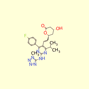 CC(C)c1nc(Nc2nnnn2C)nc(-c2ccc(F)cc2)c1/C=C/[C@@H]1C[C@@H](O)CC(=O)O1